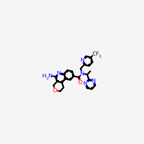 CC(c1ncccn1)N(Cc1ccc(C(F)(F)F)cn1)C(=O)c1ccc2nc(N)c3c(c2c1)CCOC3